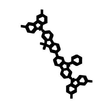 Cc1ccc2c(c1)c1cc(C)ccc1n2C1=CC2C(C=C1)c1ccc(-c3ccc4c(c3)C(C)(C)c3cc(-n5c6ccc(C)cc6c6cc(C)ccc65)ccc3-4)cc1N2c1ccccc1